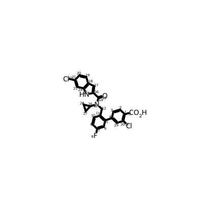 O=C(O)c1ccc(-c2cc(F)ccc2CN(C(=O)c2cc3ccc(Cl)cc3[nH]2)C2CC2)cc1Cl